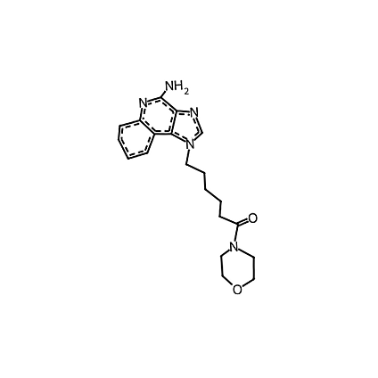 Nc1nc2ccccc2c2c1ncn2CCCCCC(=O)N1CCOCC1